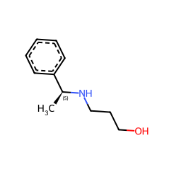 C[C@H](NCCCO)c1ccccc1